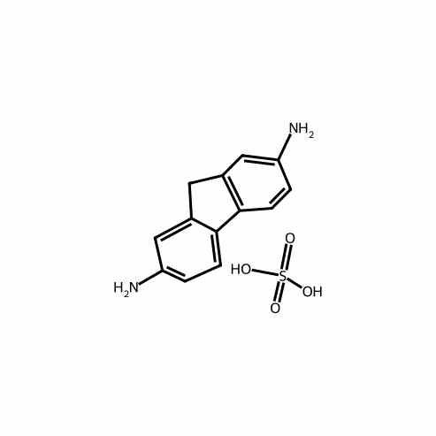 Nc1ccc2c(c1)Cc1cc(N)ccc1-2.O=S(=O)(O)O